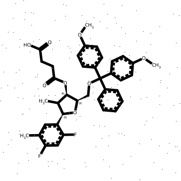 COc1ccc(C(OC[C@H]2O[C@@H](c3cc(C)c(F)cc3F)C(C)[C@H]2OC(=O)CCC(=O)O)(c2ccccc2)c2ccc(OC)cc2)cc1